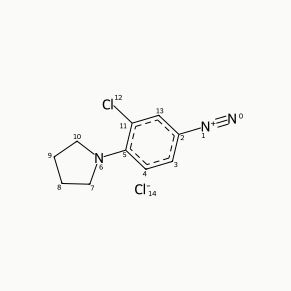 N#[N+]c1ccc(N2CCCC2)c(Cl)c1.[Cl-]